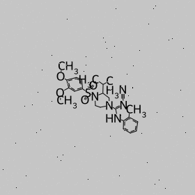 COc1ccc(S(=O)(=O)N2CCN(/C(=N\C#N)Nc3ccccc3C)CC2C(C)C)cc1OC